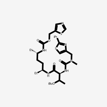 CC[C@@H](CC[C@H](CC)NC(=O)[C@@H](NC(=O)N(C)Cc1csc(C(C)C)n1)C(C)OCC(C)C)NC(=O)OCc1cncs1